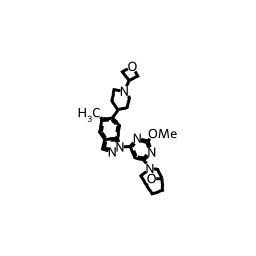 COc1nc(N2CC3CCC(C2)O3)cc(-n2ncc3cc(C)c(C4CCN(C5COC5)CC4)cc32)n1